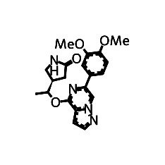 COc1ccc(-c2cn3nccc3c(OC(C)[C@H]3CNC(=O)C3)n2)cc1OC